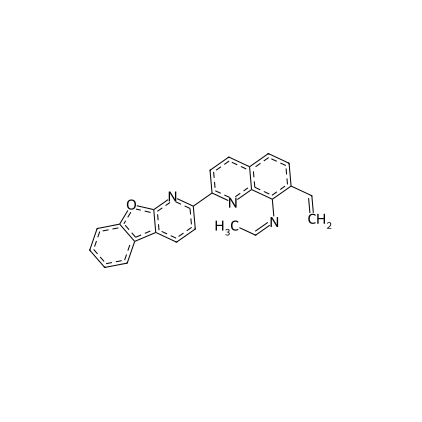 C=Cc1ccc2ccc(-c3ccc4c(n3)oc3ccccc34)nc2c1/N=C\C